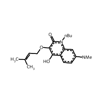 CCCCn1c(=O)c(OCC=C(C)C)c(O)c2ccc(NC)cc21